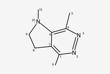 Cc1nnc(C)c2c1CCN2C